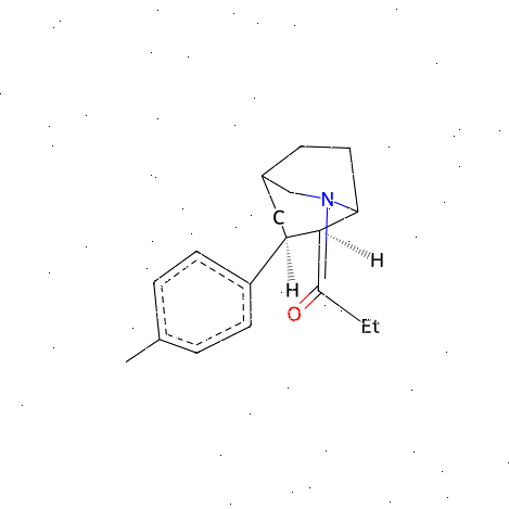 CCC(=O)[C@@H]1C2CCC(C[C@@H]1c1ccc(C)cc1)CN2C